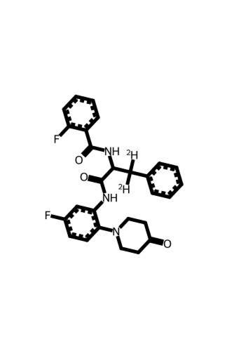 [2H]C([2H])(c1ccccc1)C(NC(=O)c1ccccc1F)C(=O)Nc1cc(F)ccc1N1CCC(=O)CC1